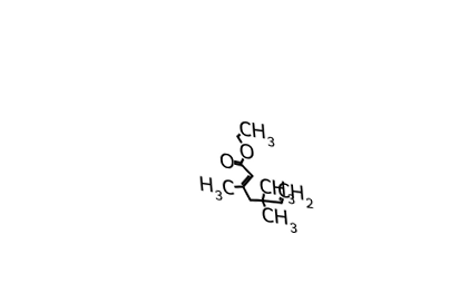 C=CC(C)(C)CC(C)=CC(=O)OCC